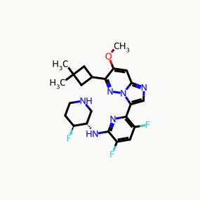 COc1cc2ncc(-c3nc(N[C@H]4CNCC[C@@H]4F)c(F)cc3F)n2nc1C1CC(C)(C)C1